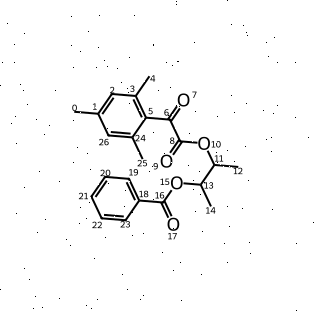 Cc1cc(C)c(C(=O)C(=O)OC(C)C(C)OC(=O)c2ccccc2)c(C)c1